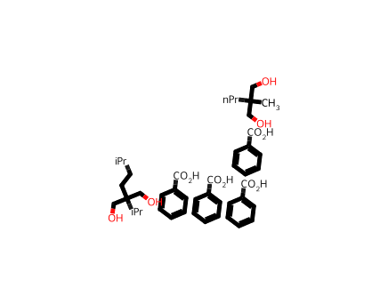 CC(C)CCC(CO)(CO)C(C)C.CCCC(C)(CO)CO.O=C(O)c1ccccc1.O=C(O)c1ccccc1.O=C(O)c1ccccc1.O=C(O)c1ccccc1